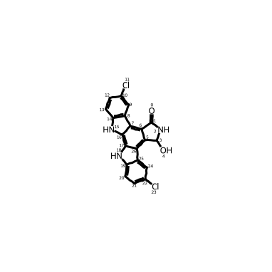 O=C1NC(O)c2c1c1c3cc(Cl)ccc3[nH]c1c1[nH]c3ccc(Cl)cc3c21